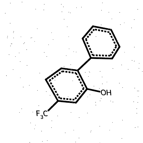 Oc1cc(C(F)(F)F)ccc1-c1ccccc1